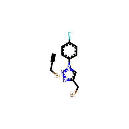 C#CCBr.Fc1ccc(-n2cc(CBr)nn2)cc1